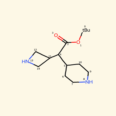 CC(C)(C)OC(=O)C(C1CCNCC1)C1CNC1